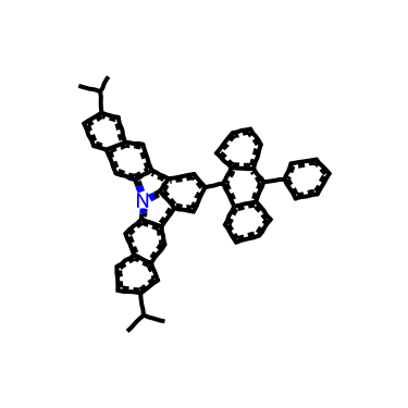 CC(C)c1ccc2cc3c(cc2c1)c1cc(-c2c4ccccc4c(-c4ccccc4)c4ccccc24)cc2c4cc5cc(C(C)C)ccc5cc4n3c12